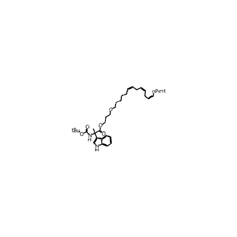 CCCCC/C=C\C/C=C\C/C=C\CCCCCOCCCOC(=O)C(C)(NC(=O)OC(C)(C)C)c1c[nH]c2ccccc12